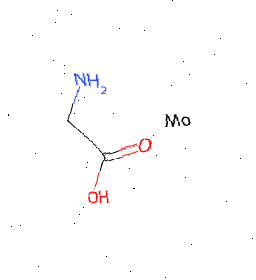 NCC(=O)O.[Mo]